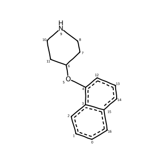 c1ccc2c(OC3CCNCC3)cccc2c1